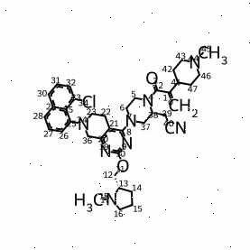 C=C(C(=O)N1CCN(c2nc(OC[C@@H]3CCCN3C)nc3c2CCN(c2cccc4cccc(Cl)c24)C3)C[C@@H]1CC#N)C1CCN(C)CC1